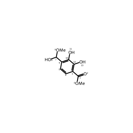 COC(=O)c1ccc(C(O)OC)c(O)c1O